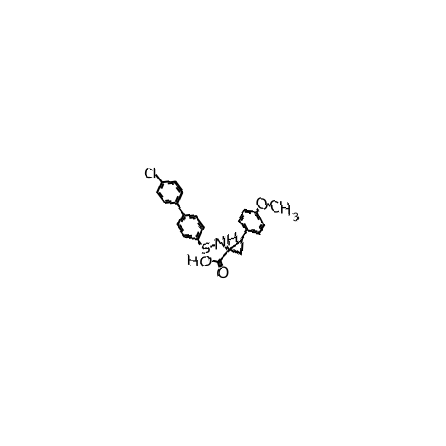 COc1ccc(C2CC2(NSc2ccc(-c3ccc(Cl)cc3)cc2)C(=O)O)cc1